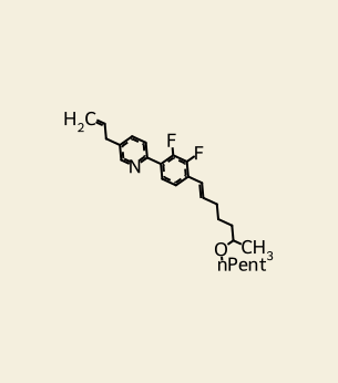 C=CCc1ccc(-c2ccc(C=CCCCC(C)OCCCCC)c(F)c2F)nc1